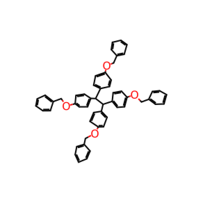 c1ccc(COc2ccc(C(c3ccc(OCc4ccccc4)cc3)C(c3ccc(OCc4ccccc4)cc3)c3ccc(OCc4ccccc4)cc3)cc2)cc1